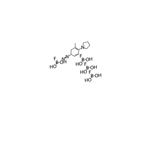 CC1=C(N2CCCC2)C=CC(=[N+]=[N-])C1.OB(O)F.OB(O)F.OB(O)F.OB(O)F